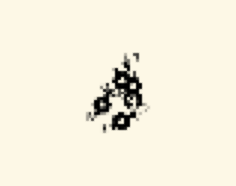 CC1=CC(OC(=O)c2ccc(Br)cc2)[C@H]2[C@@H](CCC3=CC(=O)N(C(=O)c4ccc(Br)cc4)CC[C@@]32C)[C@@H]1CCC#N